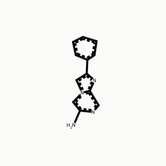 Nc1cn2cc(-c3ccccc3)nc2cn1